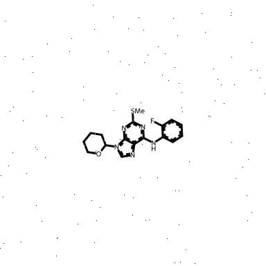 CSc1nc(Nc2ccccc2F)c2ncn(C3CCCCO3)c2n1